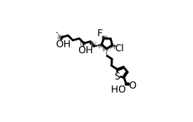 C[C@@H](O)CCC[C@H](O)/C=C/[C@@H]1[C@@H](CCCc2ccc(C(=O)O)s2)[C@H](Cl)C[C@H]1F